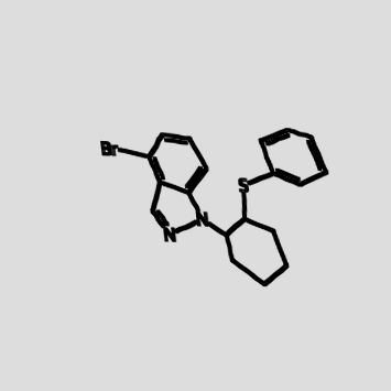 Brc1cccc2c1cnn2C1CCCCC1Sc1ccccc1